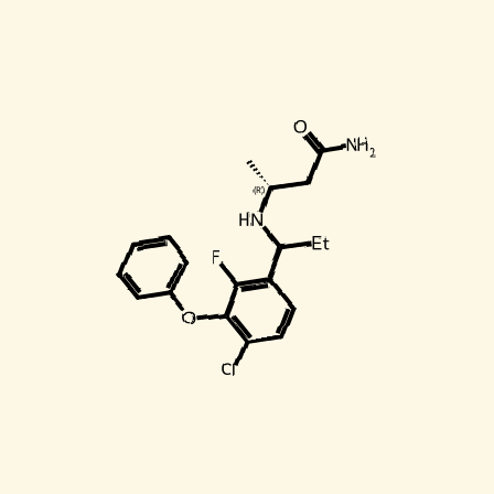 CCC(N[C@H](C)CC(N)=O)c1ccc(Cl)c(Oc2ccccc2)c1F